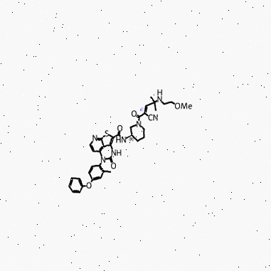 COCCNC(C)(C)/C=C(\C#N)C(=O)N1CCC[C@@H](NC(=O)c2sc3nccc4c3c2NC(=O)N4c2ccc(Oc3ccccc3)cc2C)C1